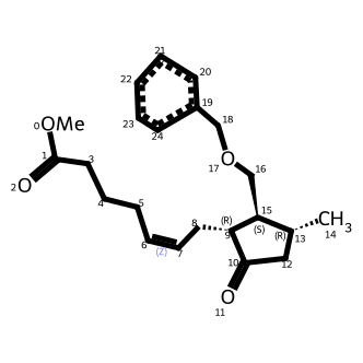 COC(=O)CCC/C=C\C[C@H]1C(=O)C[C@@H](C)[C@@H]1COCc1ccccc1